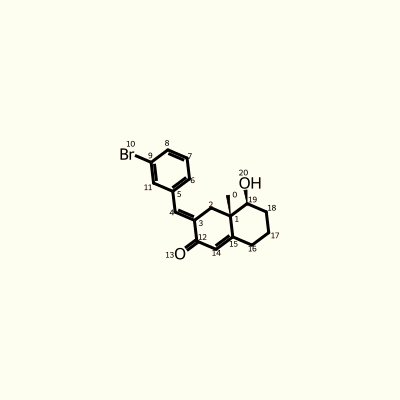 C[C@]12CC(=Cc3cccc(Br)c3)C(=O)C=C1CCC[C@@H]2O